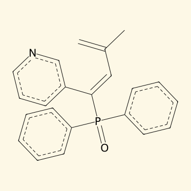 C=C(C)/C=C(\c1cccnc1)P(=O)(c1ccccc1)c1ccccc1